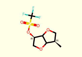 C[C@@H]1COC2C1OC[C@H]2OS(=O)(=O)C(F)(F)F